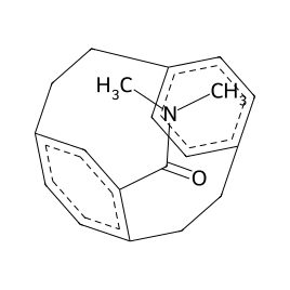 CN(C)C(=O)c1cc2ccc1CCc1ccc(cc1)CC2